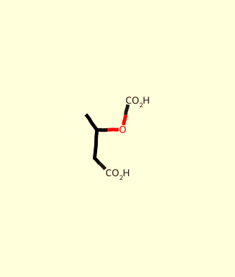 CC(CC(=O)O)OC(=O)O